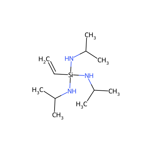 C=C[Si](NC(C)C)(NC(C)C)NC(C)C